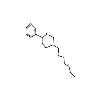 CCCCCCCC1CCC(c2ccccc2)OC1